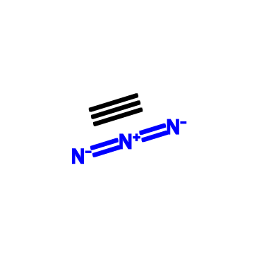 C#C.[N-]=[N+]=[N-]